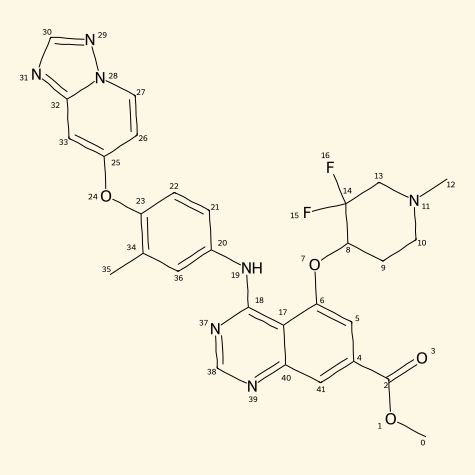 COC(=O)c1cc(OC2CCN(C)CC2(F)F)c2c(Nc3ccc(Oc4ccn5ncnc5c4)c(C)c3)ncnc2c1